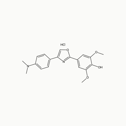 COc1cc(-c2nc(-c3ccc(N(C)C)cc3)co2)cc(OC)c1O.Cl